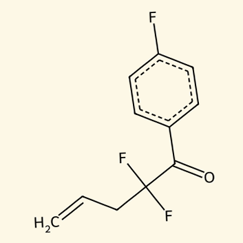 C=CCC(F)(F)C(=O)c1ccc(F)cc1